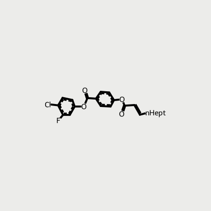 CCCCCCCC=CC(=O)Oc1ccc(C(=O)Oc2ccc(Cl)c(F)c2)cc1